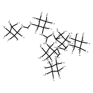 CC1(F)C(F)(F)C(F)(F)C1(F)OCOC1(F)C(F)(F)C(F)(F)C1(F)OC(OC1(F)C(F)(F)C(F)(F)C1(F)OCOC1(F)C(C)(F)C(F)(F)C1(F)F)OC1(F)C(F)(F)C(F)(F)C1(F)OCOC1(F)C(C)(F)C(F)(F)C1(F)F